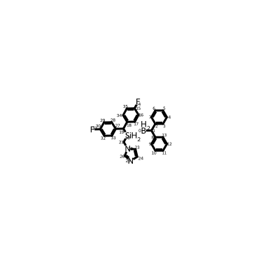 BC(c1ccccc1)c1ccccc1.Fc1ccc(C([SiH2]Cn2ccnc2)c2ccc(F)cc2)cc1